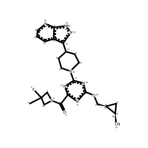 CC1(F)CN(C(=O)c2nc(OC[C@H]3C[C@H]3C#N)nc(N3CCC(c4n[nH]c5ncccc45)CC3)n2)C1